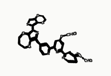 O=COc1ccnc(-c2cc(OC=O)cc(-c3cc(-c4sc(-c5scc6c5OCCO6)c5c4OCCCO5)ccn3)n2)c1